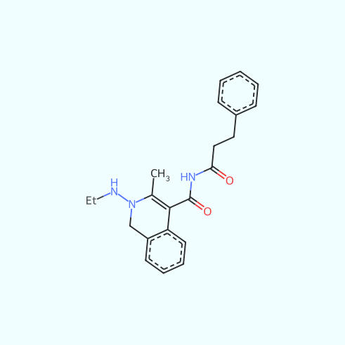 CCNN1Cc2ccccc2C(C(=O)NC(=O)CCc2ccccc2)=C1C